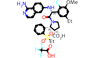 CCc1cc(OC)c(F)c([C@@H](Nc2ccc3c(N)nccc3c2)C(=O)N2CC[C@H](C(=O)O)[C@@H]2c2ccccc2S(=O)(=O)CC)c1.O=C(O)C(F)(F)F